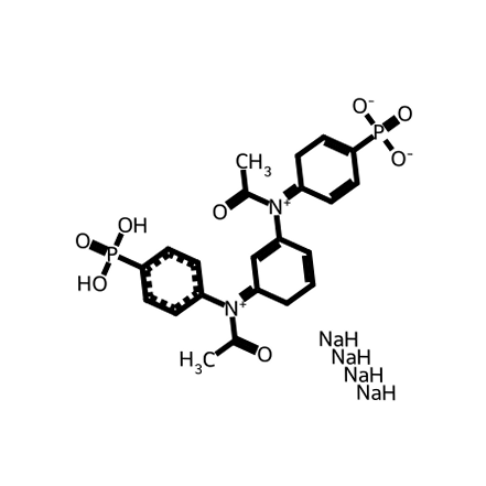 CC(=O)[N+](C1=CC(=[N+](C(C)=O)c2ccc(P(=O)(O)O)cc2)CC=C1)=C1C=CC(P(=O)([O-])[O-])=CC1.[NaH].[NaH].[NaH].[NaH]